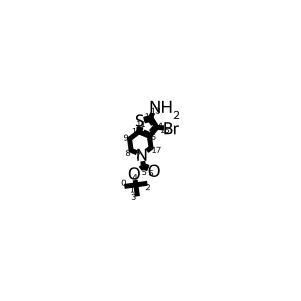 CC(C)(C)OC(=O)N1CCc2sc(N)c(Br)c2C1